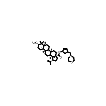 C=C(C)[C@@H]1CC[C@]2(C(=O)NC3C=CC(CN4CCOCC4)C3)CC[C@]3(C)[C@H](CC[C@@H]4[C@@]5(C)CC[C@H](OC(C)=O)C(C)(C)[C@@H]5CC[C@]43C)[C@@H]12